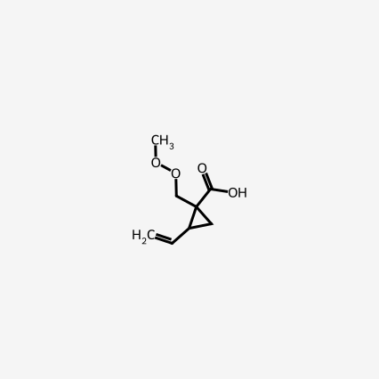 C=CC1CC1(COOC)C(=O)O